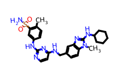 Cc1ccc(Nc2nccc(NCc3ccc4c(c3)nc(NC3CCCCC3)n4C)n2)cc1S(N)(=O)=O